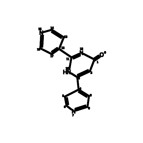 O=c1cc(-c2ccncc2)[nH]c(-c2ccncc2)n1